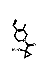 C=CC1=C(C)CN(C(=O)C2(OC)CC2)CC1